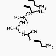 C=CCP.C=CCP.C=CCP.N#CB(O)F.N#CB(O)F.N#CB(O)F